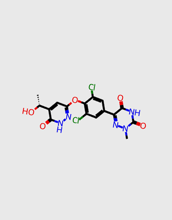 C[C@@H](O)c1cc(Oc2c(Cl)cc(-c3nn(C)c(=O)[nH]c3=O)cc2Cl)n[nH]c1=O